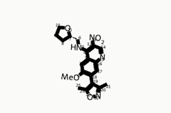 COc1cc2c(NC[C@@H]3CCCO3)c([N+](=O)[O-])cnc2cc1-c1c(C)noc1C